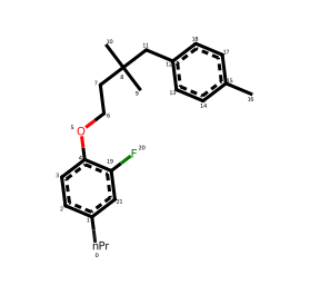 CCCc1ccc(OCCC(C)(C)Cc2ccc(C)cc2)c(F)c1